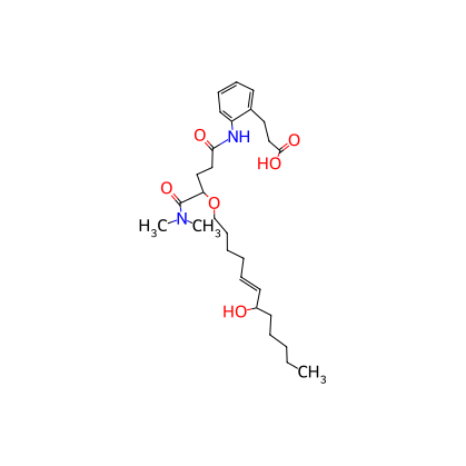 CCCCCC(O)/C=C/CCCCOC(CCC(=O)Nc1ccccc1CCC(=O)O)C(=O)N(C)C